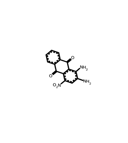 Nc1cc([N+](=O)[O-])c2c(c1N)C(=O)c1ccccc1C2=O